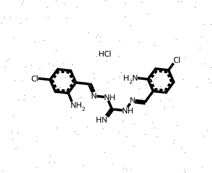 Cl.N=C(NN=Cc1ccc(Cl)cc1N)NN=Cc1ccc(Cl)cc1N